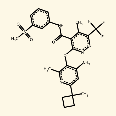 Cc1cc(C2(C)CCC2)nc(C)c1Oc1nnc(C(F)(F)F)c(C)c1C(=O)Nc1cccc(S(C)(=O)=O)c1